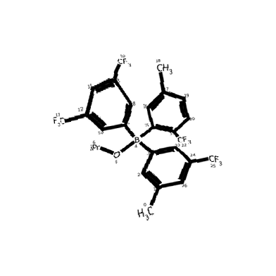 Cc1cc([B-](OC(C)C)(c2cc(C(F)(F)F)cc(C(F)(F)F)c2)c2cc(C)ccc2C(F)(F)F)cc(C(F)(F)F)c1